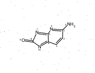 Nc1ccc2c(n1)=NC(=O)N=2